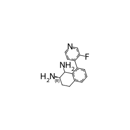 NC1c2c(cccc2-c2ccncc2F)CC[C@H]1N